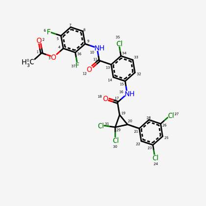 CC(=O)Oc1c(F)ccc(NC(=O)c2cc(NC(=O)C3C(c4cc(Cl)cc(Cl)c4)C3(Cl)Cl)ccc2Cl)c1F